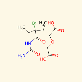 CCC(Br)(CC)C(=O)NC(N)=O.O=C(O)COCC(=O)O